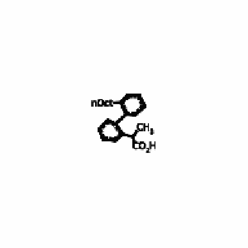 CCCCCCCCc1ccccc1-c1ccccc1C(C)C(=O)O